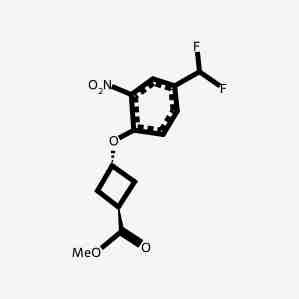 COC(=O)[C@H]1C[C@H](Oc2ccc(C(F)F)cc2[N+](=O)[O-])C1